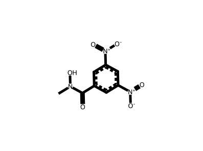 CN(O)C(=O)c1cc([N+](=O)[O-])cc([N+](=O)[O-])c1